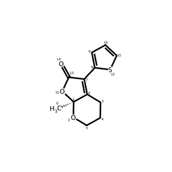 C[C@@]12OCCCC1=C(c1cccs1)C(=O)O2